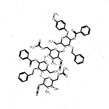 CCC1O[C@@H](Oc2ccc(OC)cc2)C(OC(=O)c2ccccc2)[C@H](OCc2ccccc2)[C@@H]1O[C@@H]1OC(COC(C)=O)[C@@H](O[C@@H]2OC(CC)[C@H](O[C@@H]3OC(COC(C)=O)[C@@H](O)[C@H](C)C3N=[N+]=[N-])[C@@H](OCc3ccccc3)C2OC(=O)c2ccccc2)[C@H](C)C1N=[N+]=[N-]